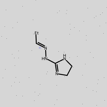 CC/C=N/NC1=NCCN1